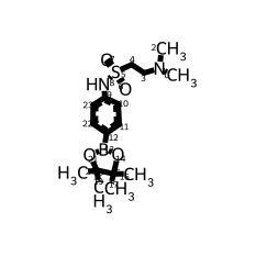 CN(C)CCS(=O)(=O)Nc1ccc(B2OC(C)(C)C(C)(C)O2)cc1